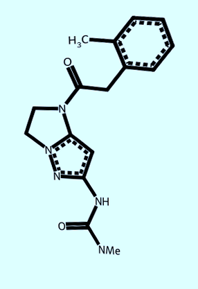 CNC(=O)Nc1cc2n(n1)CCN2C(=O)Cc1ccccc1C